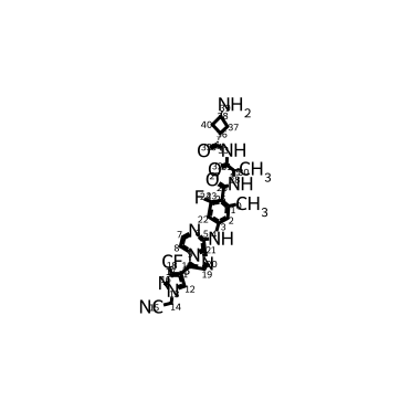 Cc1cc(Nc2nccn3c(-c4cn(CC#N)nc4C(F)(F)F)cnc23)cc(F)c1C(=O)N[C@H](C)C(=O)NC(=O)[C@H]1C[C@@H](N)C1